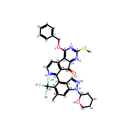 CSc1nc(OCc2ccccc2)c2c(n1)C(=O)c1c-2ccnc1-c1c(C(F)(F)F)c(C)cc2c1cnn2C1CCCCO1